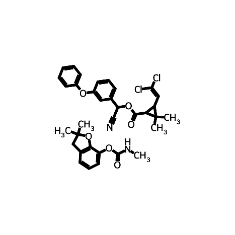 CC1(C)C(C=C(Cl)Cl)C1C(=O)OC(C#N)c1cccc(Oc2ccccc2)c1.CNC(=O)Oc1cccc2c1OC(C)(C)C2